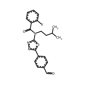 CC(C)CCN(C(=O)c1ccccc1F)c1nnc(-c2ccc(C=O)cc2)s1